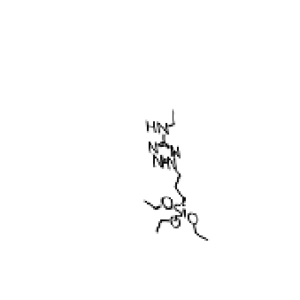 CCNc1nnn(CCC[Si](OCC)(OCC)OCC)n1